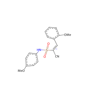 COc1ccc(NS(=O)(=O)/C(C#N)=C\c2ccccc2OC)cc1